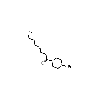 CC(C)CCCOCCC(=O)N1CCN(C(C)(C)C)CC1